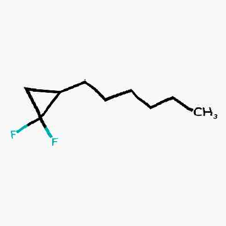 CCCCC[CH]C1CC1(F)F